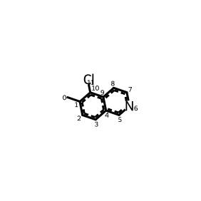 Cc1ccc2cnccc2c1Cl